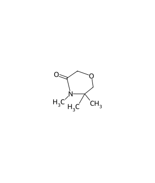 CN1C(=O)COCC1(C)C